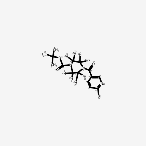 [2H]C1([2H])N(C(=O)OC(C)(C)C)C([2H])([2H])C([2H])([2H])N(C(=O)c2ccc(Br)nc2)C1([2H])[2H]